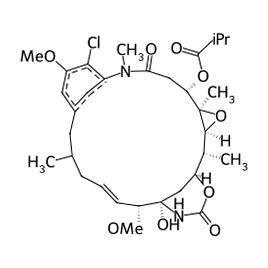 COc1cc2cc(c1Cl)N(C)C(=O)C[C@H](OC(=O)C(C)C)[C@@]1(C)O[C@H]1[C@H](C)[C@@H]1C[C@@](O)(NC(=O)O1)[C@H](OC)/C=C/CC(C)C2